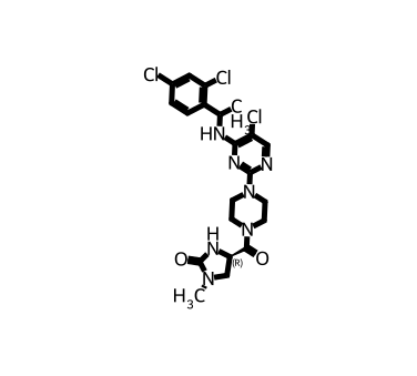 CC(Nc1nc(N2CCN(C(=O)[C@H]3CN(C)C(=O)N3)CC2)ncc1Cl)c1ccc(Cl)cc1Cl